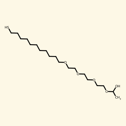 CC(O)OCCOCCOCCOCCCCCCCCCCCS